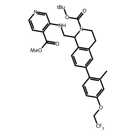 COC(=O)c1ccncc1NCC1c2ccc(-c3ccc(OCC(F)(F)F)cc3C)cc2CCN1C(=O)OC(C)(C)C